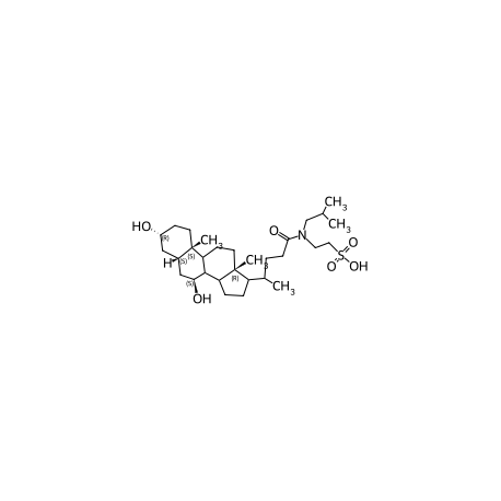 CC(C)CN(CCS(=O)(=O)O)C(=O)CCC(C)C1CCC2C3C(CC[C@]12C)[C@@]1(C)CC[C@@H](O)C[C@H]1C[C@@H]3O